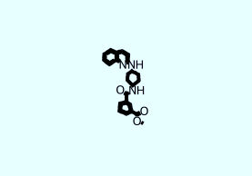 COC(=O)c1cccc(C(=O)N[C@H]2CC[C@@H](Nc3ccc4ccccc4n3)CC2)c1